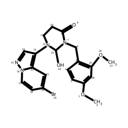 COc1ccc(CN2C(=O)CCN(c3cnn4ccc(Br)cc34)C2O)c(OC)c1